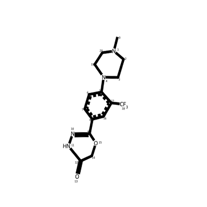 CN1CCN(c2ccc(C3=NNC(=O)CO3)cc2C(F)(F)F)CC1